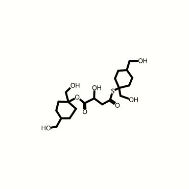 O=C(CC(O)C(=O)OC1(CO)CCC(CO)CC1)SC1(CO)CCC(CO)CC1